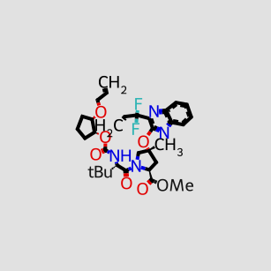 C=CCO[C@@H]1CCC[C@H]1OC(=O)N[C@H](C(=O)N1C[C@](C)(Oc2nc3ccccc3nc2C(F)(F)C=C)C[C@H]1C(=O)OC)C(C)(C)C